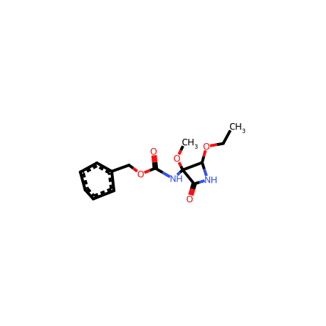 CCOC1NC(=O)C1(NC(=O)OCc1ccccc1)OC